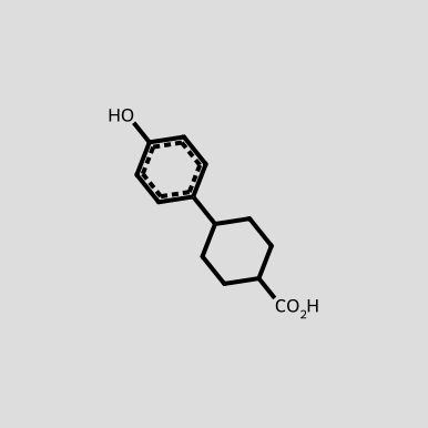 O=C(O)C1CCC(c2ccc(O)cc2)CC1